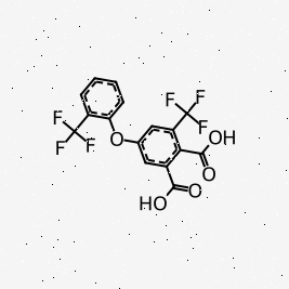 O=C(O)c1cc(Oc2ccccc2C(F)(F)F)cc(C(F)(F)F)c1C(=O)O